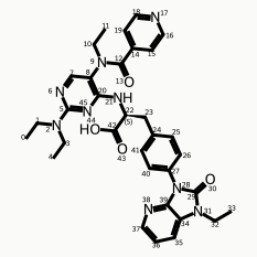 CCN(CC)c1ncc(N(CC)C(=O)c2ccncc2)c(N[C@@H](Cc2ccc(-n3c(=O)n(CC)c4cccnc43)cc2)C(=O)O)n1